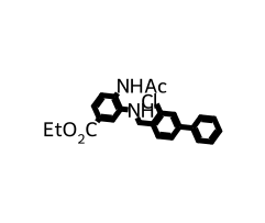 CCOC(=O)c1ccc(NC(C)=O)c(NCc2ccc(-c3ccccc3)cc2Cl)c1